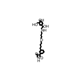 O=C1CNC(=O)N1c1cccc(CCCCCOCCCCCNC[C@H](O)c2ccc(O)c(CO)c2)c1